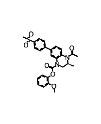 COc1ccccc1OC(=O)N1C[C@H](C)N(C(C)=O)c2ccc(-c3ccc(S(C)(=O)=O)cc3)cc21